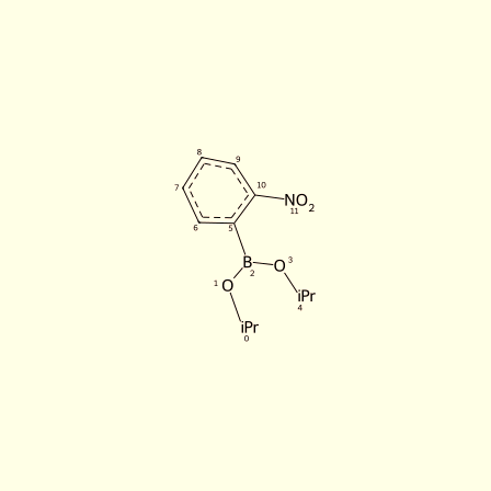 CC(C)OB(OC(C)C)c1ccccc1[N+](=O)[O-]